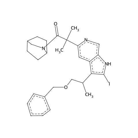 CC(COCc1ccccc1)c1c(I)[nH]c2cnc(C(C)(C)C(=O)N3CC4CCC3CC4)cc12